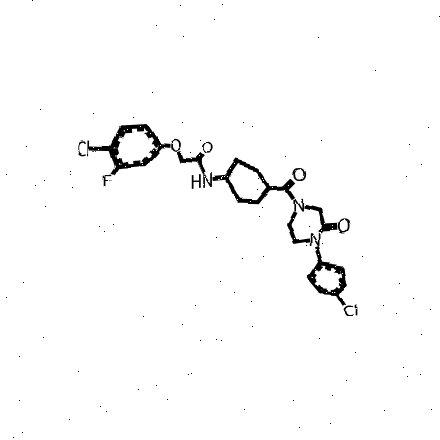 O=C(COc1ccc(Cl)c(F)c1)NC1CCC(C(=O)N2CCN(c3ccc(Cl)cc3)C(=O)C2)CC1